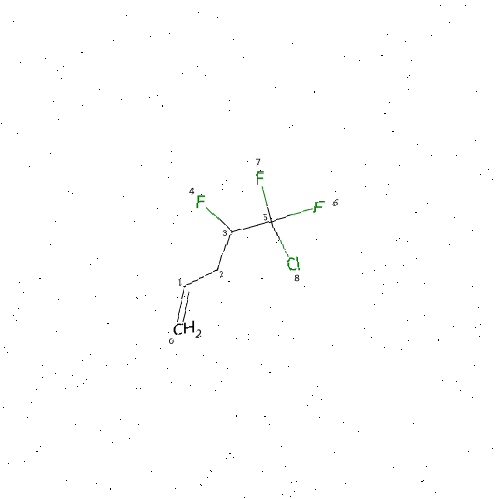 C=CCC(F)C(F)(F)Cl